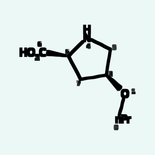 CCCO[C@@H]1CN[C@H](C(=O)O)C1